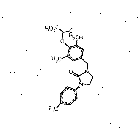 Cc1cc(CN2CCN(c3ccc(C(F)(F)F)cc3)C2=O)cc(C)c1OC(C)C(=O)O